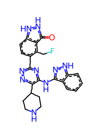 O=c1[nH][nH]c2ccc(-c3nnc(C4CCNCC4)c(Nc4n[nH]c5ccccc45)n3)c(CF)c12